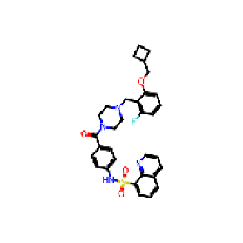 O=C(c1ccc(NS(=O)(=O)c2cccc3cccnc23)cc1)N1CCN(Cc2c(F)cccc2OCC2CCC2)CC1